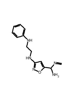 C=NC(N)c1cc(NCCNc2ccccc2)no1